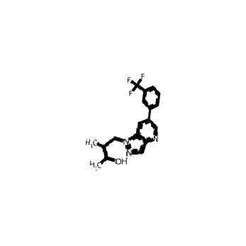 CC(O)C(C)Cn1ncc2ncc(-c3cccc(C(F)(F)F)c3)cc21